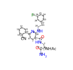 CC(=O)N[C@@H](CNC(=O)c1ccc(-c2ccccc2C#N)nc1NCCc1cccc(F)c1)C(N)=O